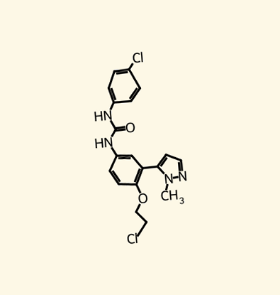 Cn1nccc1-c1cc(NC(=O)Nc2ccc(Cl)cc2)ccc1OCCCl